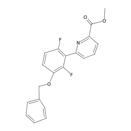 COC(=O)c1cccc(-c2c(F)ccc(OCc3ccccc3)c2F)n1